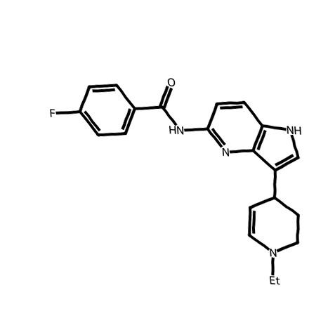 CCN1C=CC(c2c[nH]c3ccc(NC(=O)c4ccc(F)cc4)nc23)CC1